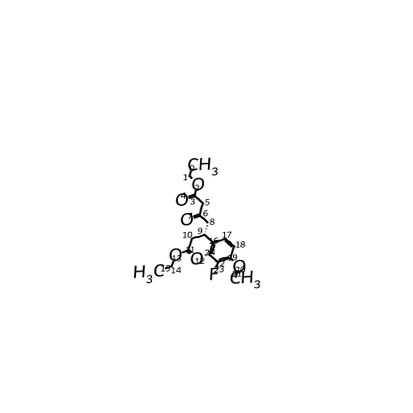 CCOC(=O)CC(=O)C[C@@H](CC(=O)OCC)c1ccc(OC)c(F)c1